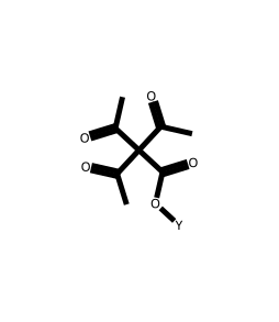 CC(=O)C(C(C)=O)(C(C)=O)C(=O)[O][Y]